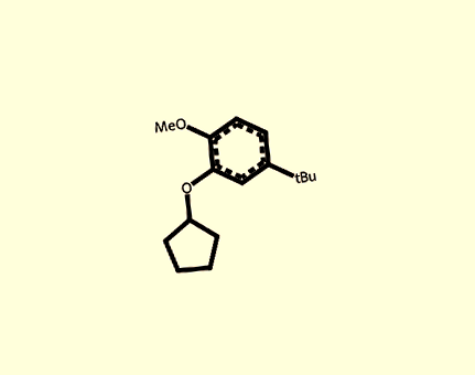 COc1ccc(C(C)(C)C)cc1OC1CCCC1